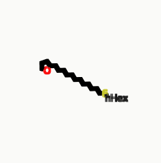 CCCCCCSCCCCCCCCCCCCC1CCCO1